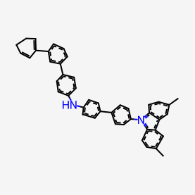 Cc1ccc2c(c1)c1cc(C)ccc1n2-c1ccc(-c2ccc(Nc3ccc(-c4cccc(C5=CCCC=C5)c4)cc3)cc2)cc1